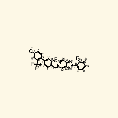 COc1ccc(-c2ccc(Cn3cc4nc(-c5cccc(F)c5F)nc-4cn3)c(F)c2)c(C(F)(F)F)c1